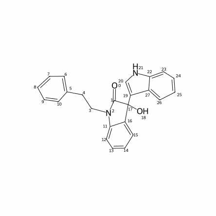 O=C1N(CCc2ccccc2)c2ccccc2C1(O)c1c[nH]c2ccccc12